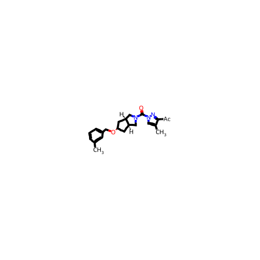 CC(=O)c1nn(C(=O)N2C[C@H]3C[C@H](OCc4cccc(C)c4)C[C@H]3C2)cc1C